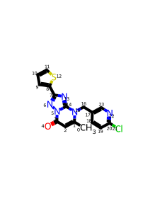 Cc1cc(=O)n2nc(-c3cccs3)nc2n1Cc1ccc(Cl)nc1